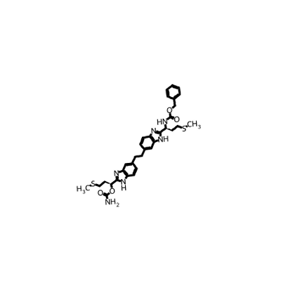 CSCC[C@H](NC(=O)OCc1ccccc1)c1nc2ccc(CCc3ccc4[nH]c([C@H](CCSC)OC(N)=O)nc4c3)cc2[nH]1